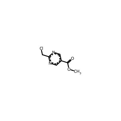 COC(=O)c1cnc(CCl)nc1